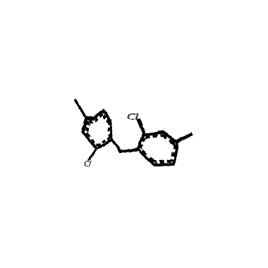 Cc1ccc(Cc2ccc(C)cc2Cl)c(Cl)c1